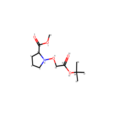 COC(=O)C1CCCN1OCC(=O)OC(C)(C)C